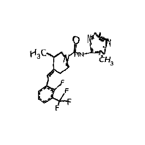 CC1CN(C(=O)Nc2nnnn2C)CC/C1=C\c1cccc(C(F)(F)F)c1F